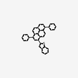 c1ccc(-c2ccc3ccc4c(-c5ccccc5)cc(-c5cc6ccccc6s5)c5ccc2c3c45)cc1